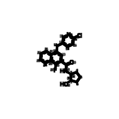 O=C(N[C@H]1CCC[C@H]1O)c1cc(Cc2ccc(Cl)nc2)c2ccccc2c1F